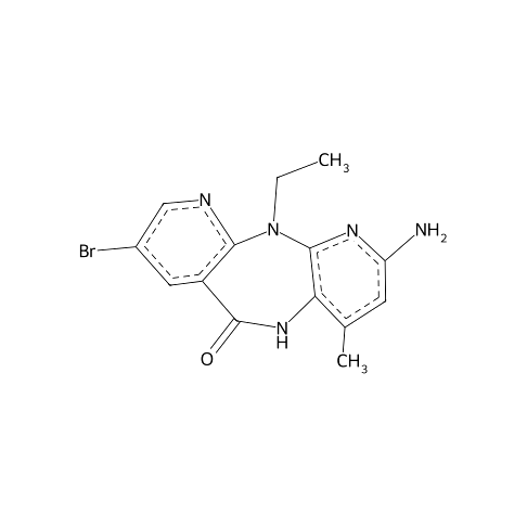 CCN1c2ncc(Br)cc2C(=O)Nc2c(C)cc(N)nc21